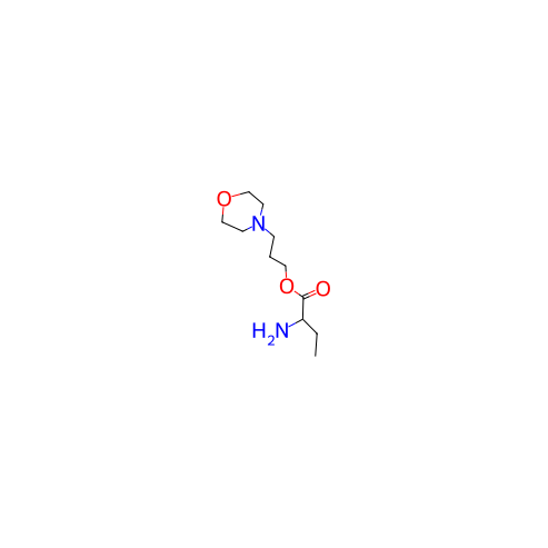 CCC(N)C(=O)OCCCN1CCOCC1